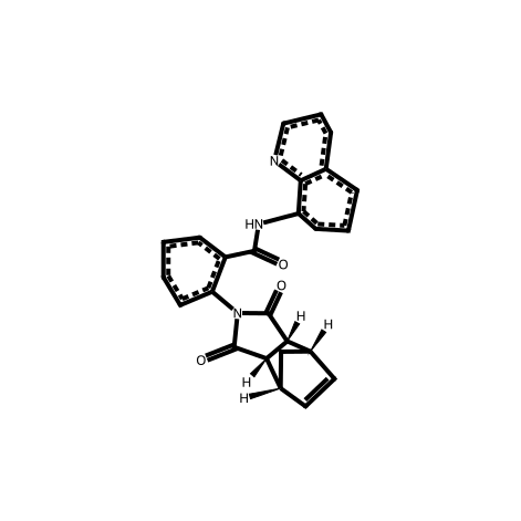 O=C(Nc1cccc2cccnc12)c1ccccc1N1C(=O)[C@@H]2[C@H](C1=O)[C@@H]1C=C[C@H]2C1